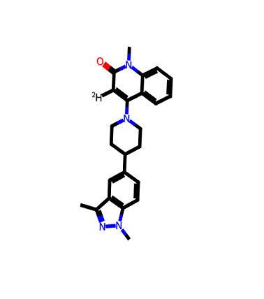 [2H]c1c(N2CCC(c3ccc4c(c3)c(C)nn4C)CC2)c2ccccc2n(C)c1=O